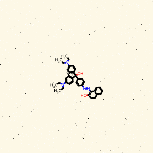 CCN(CC)c1ccc(C(O)(c2ccc(/N=N/c3c(O)ccc4ccccc34)cc2)c2ccc(N(CC)CC)cc2C)cc1